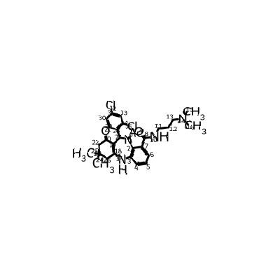 CC(=O)N1c2c(cccc2C(=O)NCCCN(C)C)NC2=C(C(=O)CC(C)(C)C2)C1c1ccc(Cl)cc1Cl